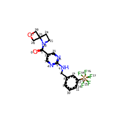 O=C(c1cnc(NCc2cccc(S(F)(F)(F)(F)F)c2)nc1)N1CCC12COC2